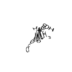 Cn1c(C2CCC2(C)C(=O)O)nc2ccc(-n3ccc(OCc4ccc(Cl)cc4)cc3=O)cc21